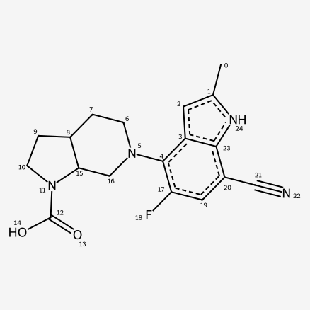 Cc1cc2c(N3CCC4CCN(C(=O)O)C4C3)c(F)cc(C#N)c2[nH]1